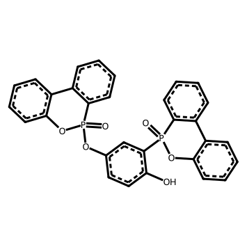 O=P1(Oc2ccc(O)c(P3(=O)Oc4ccccc4-c4ccccc43)c2)Oc2ccccc2-c2ccccc21